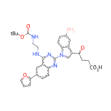 Bc1ccc2c(c1)c(C(=O)CCC(=O)O)cn2-c1nc(NCCNC(=O)OC(C)(C)C)c2cc(-c3ccco3)ccc2n1